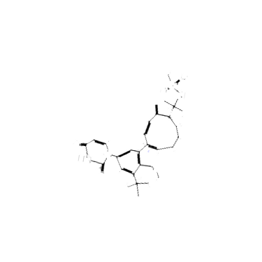 C=C1/C=C\C(c2cc(-n3ccc(=O)[nH]c3=O)cc(C(C)(C)C)c2OC)=C/CCC[C@@H]1C(C)(C)NS(C)(=O)=O